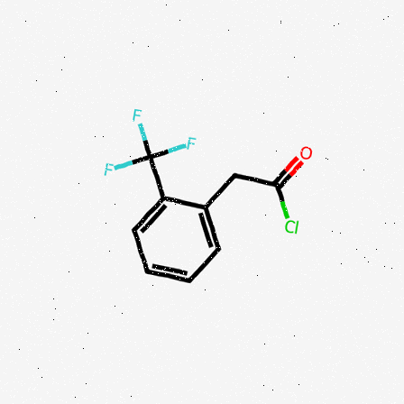 O=C(Cl)Cc1ccccc1C(F)(F)F